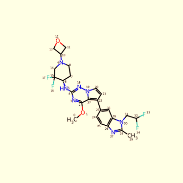 COc1nc(N[C@@H]2CCN(C3COC3)CC2(F)F)nn2ccc(-c3ccc4nc(C)n(CC(F)F)c4c3)c12